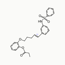 CCC(=O)Oc1ccccc1OCCC/C=C/c1cccc(NS(=O)(=O)c2ccccc2)c1